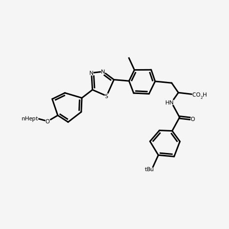 CCCCCCCOc1ccc(-c2nnc(-c3ccc(CC(NC(=O)c4ccc(C(C)(C)C)cc4)C(=O)O)cc3C)s2)cc1